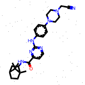 CC1(C)C2CCC1(C)C(NC(=O)c1ccnc(Nc3ccc(N4CCN(CC#N)CC4)cc3)n1)C2